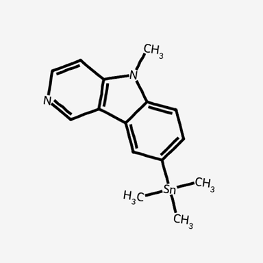 Cn1c2ccncc2c2c[c]([Sn]([CH3])([CH3])[CH3])ccc21